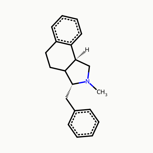 CN1C[C@@H]2c3ccccc3CCC2[C@H]1Cc1ccccc1